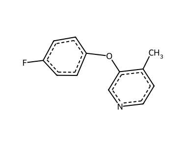 Cc1ccncc1Oc1ccc(F)cc1